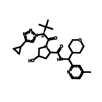 Cc1ccnc(C(NC(=O)C2CC(O)CN2C(=O)[C@@H](n2cc(C3CC3)nn2)C(C)(C)C)C2CCOCC2)c1